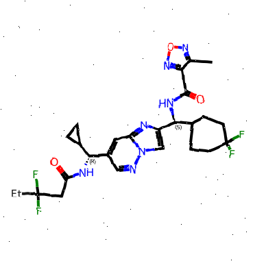 CCC(F)(F)CC(=O)N[C@@H](c1cnn2cc([C@@H](NC(=O)c3nonc3C)C3CCC(F)(F)CC3)nc2c1)C1CC1